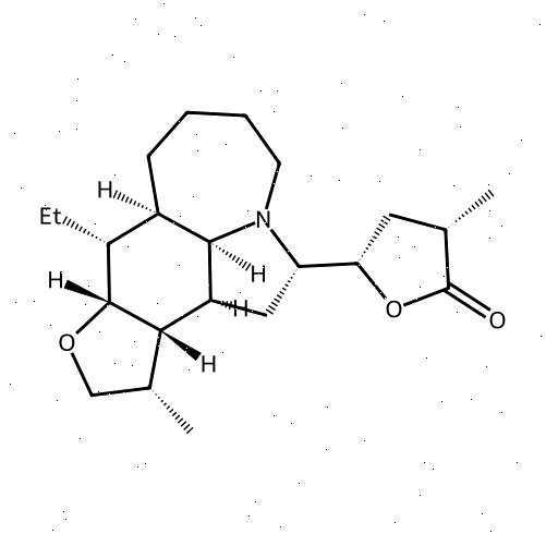 CC[C@@H]1[C@H]2CCCCN3[C@H]2[C@@H](C[C@H]3[C@@H]2C[C@H](C)C(=O)O2)[C@H]2[C@@H]1OC[C@H]2C